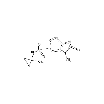 Cn1c(=O)[nH]c2ccc(S(=O)(=O)NC3(C)CC3)cc21